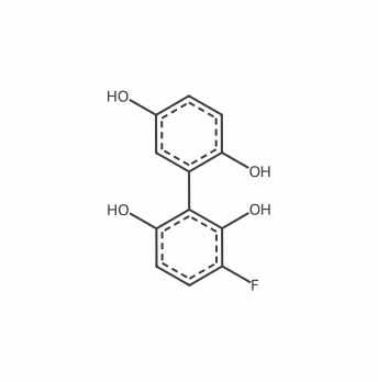 Oc1ccc(O)c(-c2c(O)ccc(F)c2O)c1